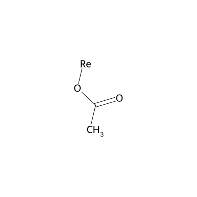 CC(=O)[O][Re]